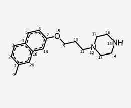 Cc1ccc2ccc(OCCCN3CCNCC3)cc2c1